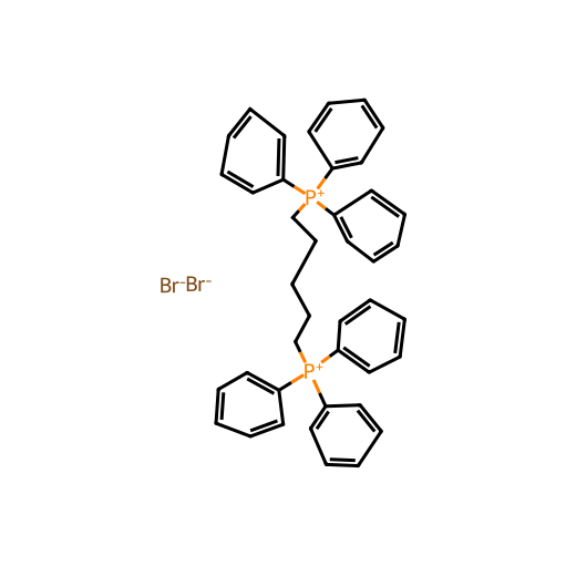 [Br-].[Br-].c1ccc([P+](CCCCC[P+](c2ccccc2)(c2ccccc2)c2ccccc2)(c2ccccc2)c2ccccc2)cc1